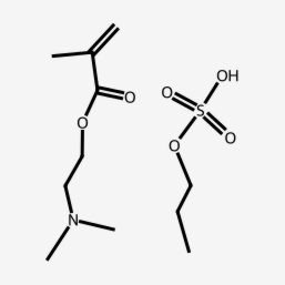 C=C(C)C(=O)OCCN(C)C.CCCOS(=O)(=O)O